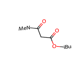 CCC(C)OC(=O)CC(=O)NC